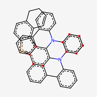 C1=Cc2c(ccc3sc4ccc(N(c5ccccc5)c5ccccc5-c5ccccc5)c(N(c5ccccc5)c5ccccc5-c5ccccc5)c4c23)CC1